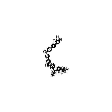 CCN(C)S(=O)(=O)Nc1cccc(-c2nc(C(C)(C)C)sc2-c2ccnc(Nc3ccc(N4CCN(C(=O)C5CCN(c6ccc([C@@H]7CCC(=O)NC7=O)cc6)CC5)CC4)cn3)n2)c1F